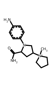 C[N+]1(C2CC(C(N)=O)N(c3ccc(N)cc3)C2)CCCC1